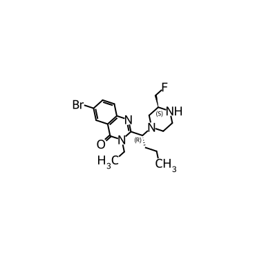 CCC[C@H](c1nc2ccc(Br)cc2c(=O)n1CC)N1CCN[C@H](CF)C1